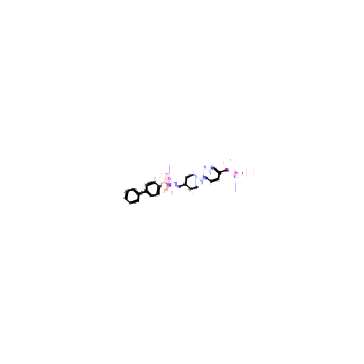 O=C(NO)c1ccc(N2CCC(CNS(=O)(=O)c3ccc(-c4ccccc4)cc3)CC2)nc1